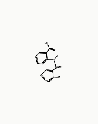 Cc1ccccc1C(=S)N(C)c1ccccc1C(=O)O